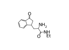 CCNC(=O)C(N)CC1CC(=O)c2ccccc21